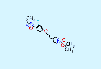 CCc1noc(-c2ccc(OCCCC3CCN(C(=O)OC(C)C)CC3)cc2F)n1